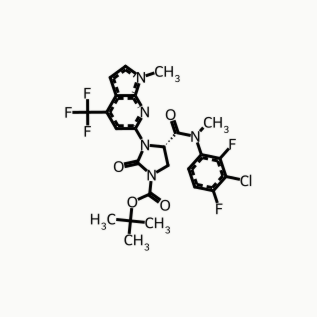 CN(C(=O)[C@@H]1CN(C(=O)OC(C)(C)C)C(=O)N1c1cc(C(F)(F)F)c2ccn(C)c2n1)c1ccc(F)c(Cl)c1F